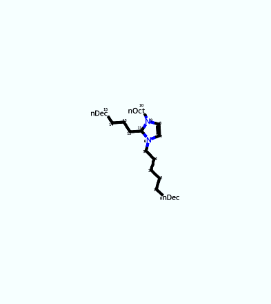 CCCCCCCCCCCCCCCN1C=CN(CCCCCCCC)C1CCCCCCCCCCCCC